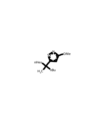 CCCCCCC(C)(CCCC)c1cc(OC)ns1